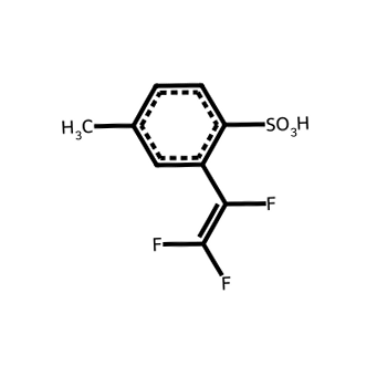 Cc1ccc(S(=O)(=O)O)c(C(F)=C(F)F)c1